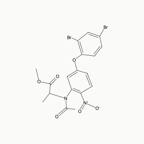 COC(=O)C(C)N(C(C)=O)c1cc(Oc2ccc(Br)cc2Br)ccc1[N+](=O)[O-]